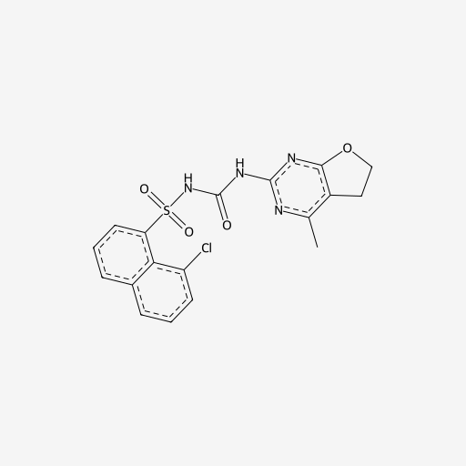 Cc1nc(NC(=O)NS(=O)(=O)c2cccc3cccc(Cl)c23)nc2c1CCO2